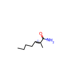 CCCC/C=C(\C)C(N)=O